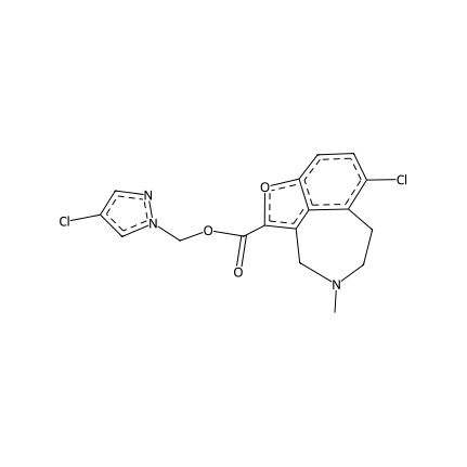 CN1CCc2c(Cl)ccc3oc(C(=O)OCn4cc(Cl)cn4)c(c23)C1